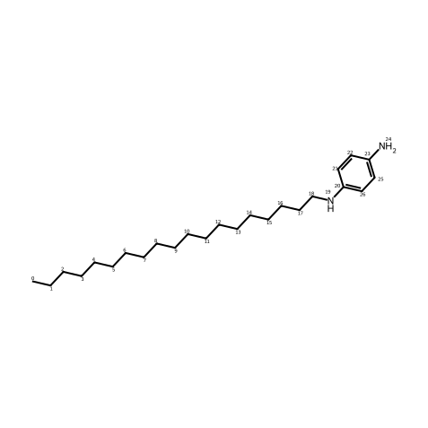 CCCCCCCCCCCCCCCCCCCNc1ccc(N)cc1